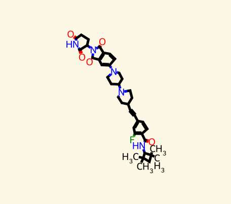 CC1(C)CC(C)(C)C1NC(=O)c1ccc(C#CC2CCN(C3CCN(c4ccc5c(c4)C(=O)N(C4CCC(=O)NC4=O)C5=O)CC3)CC2)cc1F